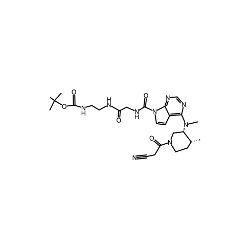 C[C@@H]1CCN(C(=O)CC#N)C[C@@H]1N(C)c1ncnc2c1ccn2C(=O)NCC(=O)NCCNC(=O)OC(C)(C)C